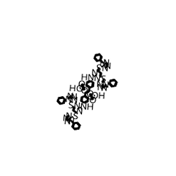 O=S(=O)(O)c1cc(Nc2nc(Sc3nnnn3-c3ccccc3)cc(Sc3nnnn3-c3ccccc3)n2)ccc1C=Cc1ccc(Nc2nc(Sc3nnnn3-c3ccccc3)cc(Sc3nnnn3-c3ccccc3)n2)cc1S(=O)(=O)O